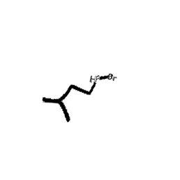 CC(C)CCPBr